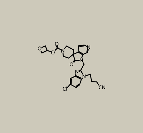 N#CCCCn1c(CN2C(=O)C3(CCN(C(=O)OC4COC4)CC3)c3ccncc32)nc2cc(Cl)ccc21